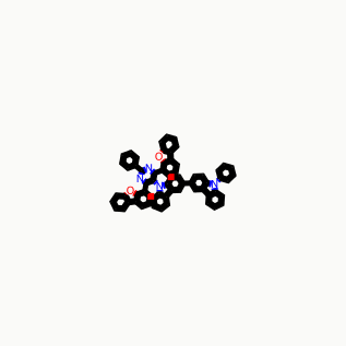 c1ccc(-c2nc(-c3cccc4c3oc3ccccc34)c(-n3c4ccccc4c4cc(-c5ccc6c(c5)c5ccccc5n6-c5ccccc5)ccc43)c(-c3cccc4c3oc3ccccc34)n2)cc1